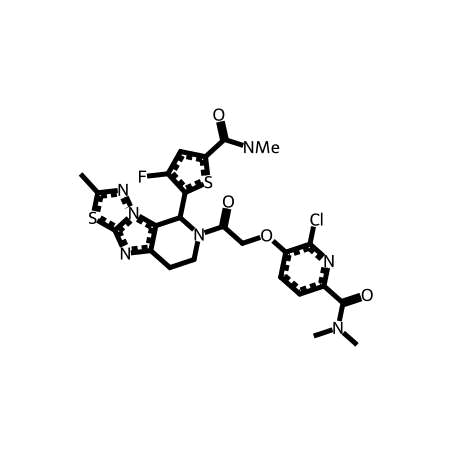 CNC(=O)c1cc(F)c(C2c3c(nc4sc(C)nn34)CCN2C(=O)COc2ccc(C(=O)N(C)C)nc2Cl)s1